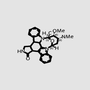 CN[C@@H]1C[C@H]2O[C@@](C)([C@@H]1OC)N1c3ccccc3C3C4CNC(=O)C4c4c(n2c2ccccc42)C31